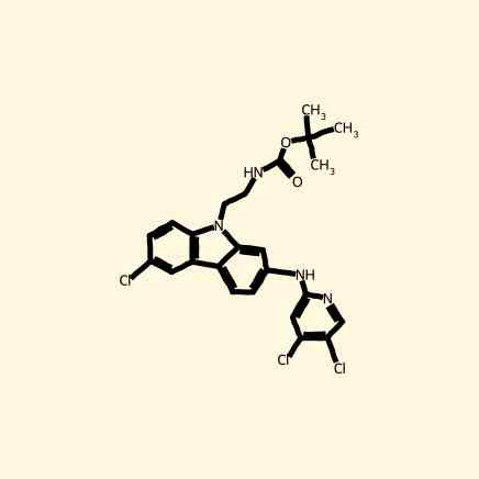 CC(C)(C)OC(=O)NCCn1c2ccc(Cl)cc2c2ccc(Nc3cc(Cl)c(Cl)cn3)cc21